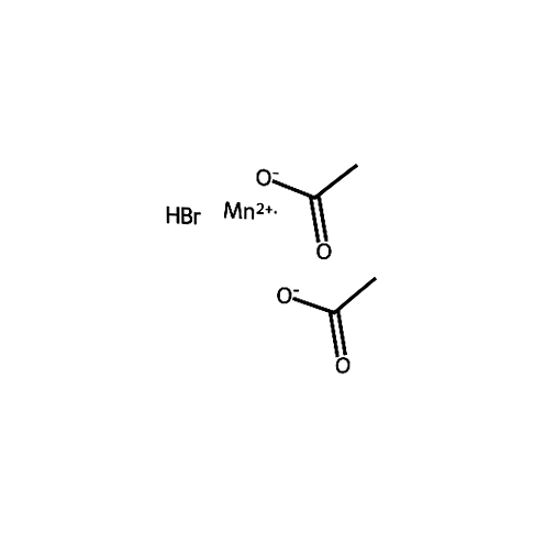 Br.CC(=O)[O-].CC(=O)[O-].[Mn+2]